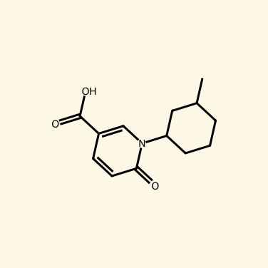 CC1CCCC(n2cc(C(=O)O)ccc2=O)C1